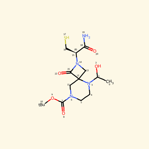 CC(O)N1CCN(C(=O)OC(C)(C)C)CC12CN([C@@H](CS)C(N)=O)C2=O